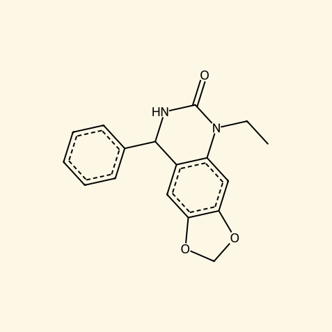 CCN1C(=O)NC(c2ccccc2)c2cc3c(cc21)OCO3